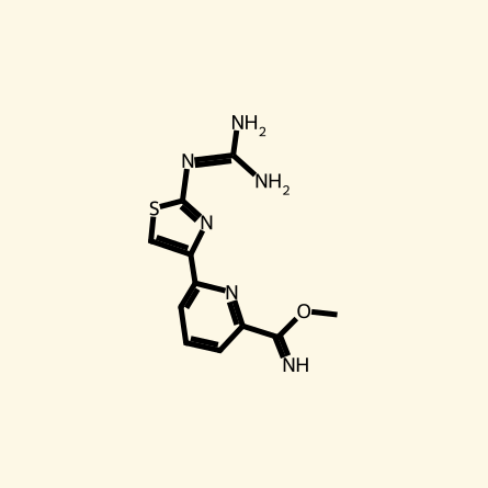 COC(=N)c1cccc(-c2csc(N=C(N)N)n2)n1